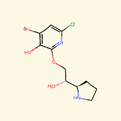 Oc1c(Br)cc(Cl)nc1OC[C@@H](O)[C@H]1CCCN1